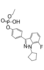 CCOP(=O)(O)Oc1ccc(-c2nn(C3CCCC3)c3c(F)cccc23)cc1